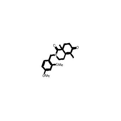 COc1ccc(CN2CCC3=C(C)C(=O)CCC3(C)C2=O)c(OC)c1